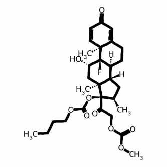 CCCCOC(=O)O[C@]1(C(=O)COC(=O)OC)[C@H](C)C[C@H]2[C@@H]3CCC4=CC(=O)C=C[C@]4(C)[C@@]3(F)[C@@H](O)C[C@@]21C